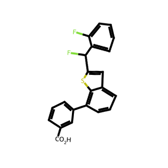 O=C(O)c1cccc(-c2cccc3cc(C(F)c4ccccc4F)sc23)c1